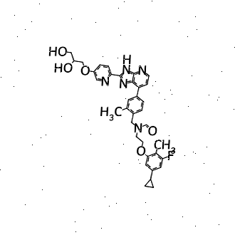 Cc1cc(-c2ccnc3[nH]c(-c4ccc(OCC(O)CO)cn4)nc23)ccc1CN(C=O)CCOc1cc(C2CC2)cc(F)c1C